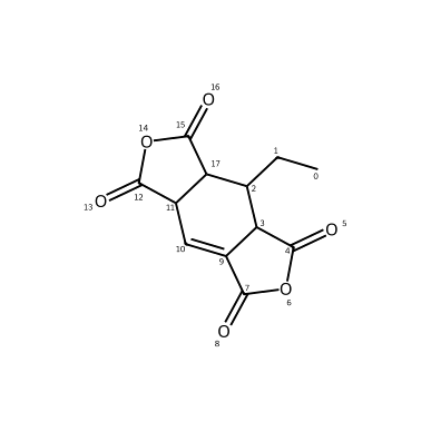 CCC1C2C(=O)OC(=O)C2=CC2C(=O)OC(=O)C21